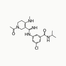 CNC1=C(C(=N)Nc2cc(Cl)cc(C(=O)NC(C)C)c2)CN(C(C)=O)CC1